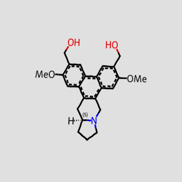 COc1cc2c3c(c4cc(OC)c(CO)cc4c2cc1CO)CN1CCC[C@H]1C3